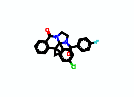 O=C(c1ccc(F)cc1)N1CCN2C(=O)c3ccccc3C3(CC3)C12c1ccc(Cl)cc1